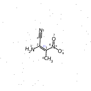 C/C(=C(\N)C#N)[N+](=O)[O-]